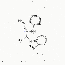 CC(/C(=N/C=N)Nc1ncccn1)n1nnc2ccccc21